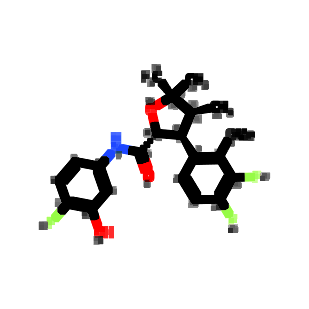 COc1c([C@H]2[C@H](C(=O)Nc3ccc(F)c(O)c3)O[C@@](C)(C(F)(F)F)[C@H]2C)ccc(F)c1F